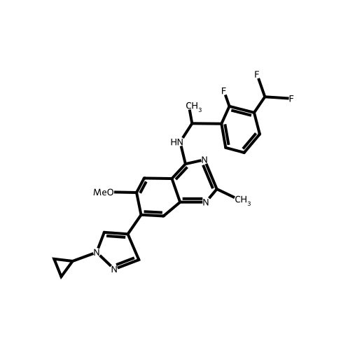 COc1cc2c(NC(C)c3cccc(C(F)F)c3F)nc(C)nc2cc1-c1cnn(C2CC2)c1